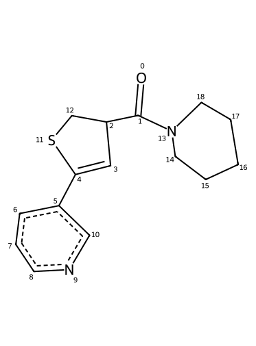 O=C(C1C=C(c2cccnc2)SC1)N1CCCCC1